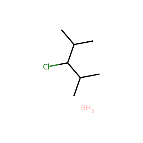 B.CC(C)C(Cl)C(C)C